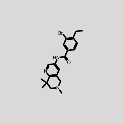 CCc1ccc(C(=O)Nc2cnc3c(c2)CN(C)CC3(C)C)cc1Br